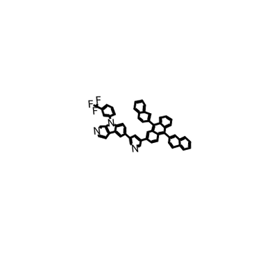 FC(F)(F)c1cccc(-n2c3ccc(-c4cncc(-c5ccc6c(-c7ccc8ccccc8c7)c7ccccc7c(-c7ccc8ccccc8c7)c6c5)c4)cc3c3ccncc32)c1